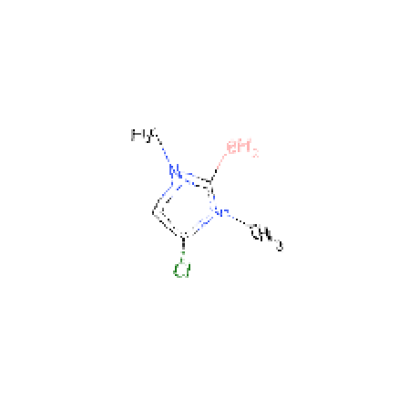 Bc1n(C)cc(Cl)[n+]1C